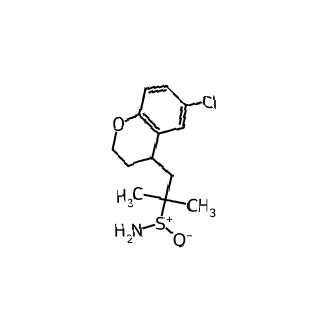 CC(C)(CC1CCOc2ccc(Cl)cc21)[S+](N)[O-]